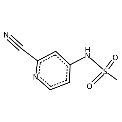 CS(=O)(=O)Nc1ccnc(C#N)c1